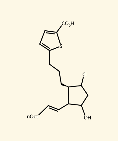 CCCCCCCCC=CC1C(O)CC(Cl)[C@@H]1CCCc1ccc(C(=O)O)s1